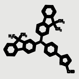 CC1(C)c2ccccc2-c2ccc(N(c3ccc(-c4ccc(C=O)s4)cc3)c3ccc4c(c3)C(C)(C)c3ccccc3-4)cc21